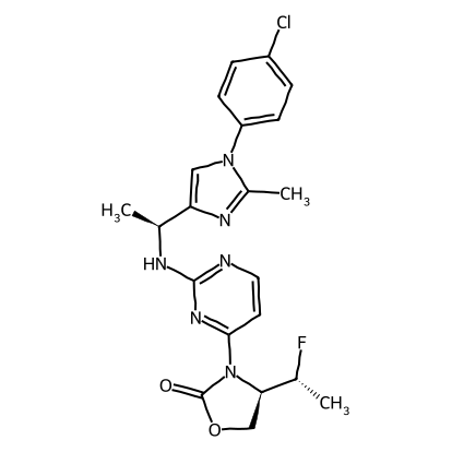 Cc1nc([C@H](C)Nc2nccc(N3C(=O)OC[C@@H]3[C@@H](C)F)n2)cn1-c1ccc(Cl)cc1